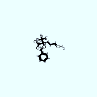 C=CCC[C@@](OCc1ccccc1)(C(=O)O)C(F)(F)F